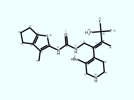 CCCCC1=C(/C(CNC(=O)Nc2sc3c(c2C)CCC3)=C(\C)C(F)(F)P)CCNC1